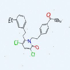 CCc1cccc(CCc2c(Cl)cc(Cl)c(=O)n2CCc2ccc(C(=O)C(C)(C)C)cc2)c1